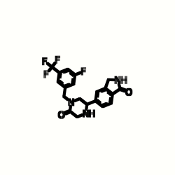 O=C1NCc2cc(C3CN(Cc4cc(F)cc(C(F)(F)F)c4)C(=O)CN3)ccc21